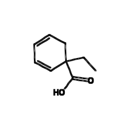 CCC1(C(=O)O)C=CC=CC1